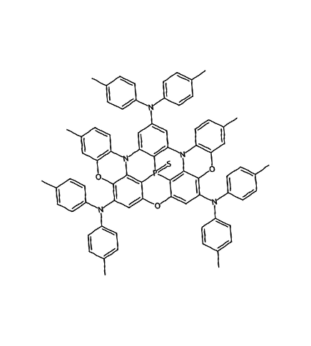 Cc1ccc(N(c2ccc(C)cc2)c2cc3c4c(c2)N2c5ccc(C)cc5Oc5c(N(c6ccc(C)cc6)c6ccc(C)cc6)cc6c(c52)P4(=S)c2c(cc(N(c4ccc(C)cc4)c4ccc(C)cc4)c4c2N3c2ccc(C)cc2O4)O6)cc1